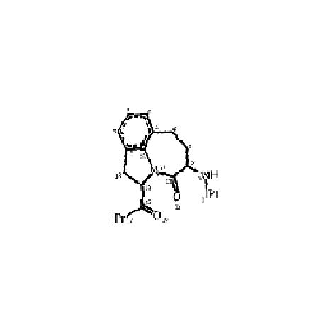 CC(C)NC1CCc2cccc3c2N(C1=O)C(C(=O)C(C)C)C3